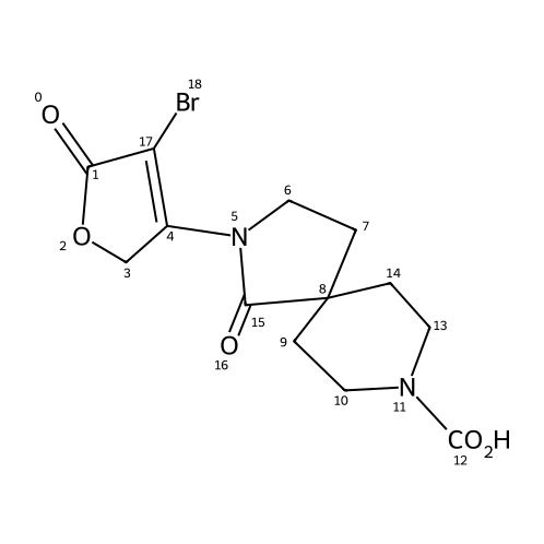 O=C1OCC(N2CCC3(CCN(C(=O)O)CC3)C2=O)=C1Br